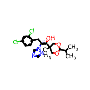 CC(C)C1OCC(C)(/C(O)=C(/Cc2ccc(Cl)cc2Cl)n2cncn2)CO1